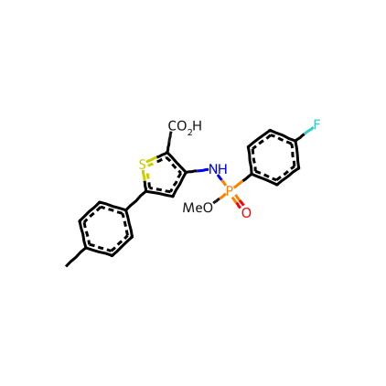 COP(=O)(Nc1cc(-c2ccc(C)cc2)sc1C(=O)O)c1ccc(F)cc1